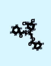 O=C(NC[C@@H](CCOC(=O)c1ccccc1)c1ccc(Cl)c(Cl)c1)c1ccccc1